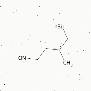 CCCCCC(C)CCN=O